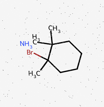 CC1(C)CCCCC1(C)Br.N